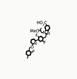 CO[C@H](C)Cn1c(Cc2cc(F)c(-c3cccc(OCc4ccc(C)cc4F)n3)cc2F)nc2ccc(C(=O)O)cc21